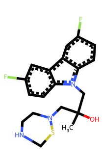 CC(O)(CN1CCNCS1)Cn1c2ccc(F)cc2c2cc(F)ccc21